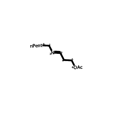 CCCCCCN=CCCOC(C)=O